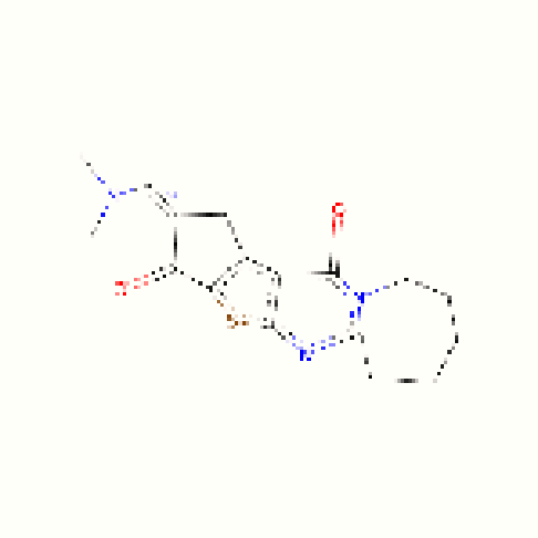 CN(C)/C=C1/Cc2c(sc3nc4n(c(=O)c23)CCCCC4)C1=O